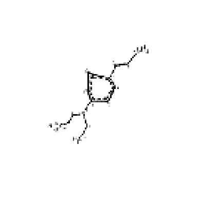 CCCc1ccc(N(CC)CC)cc1